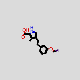 Cc1c(CCc2cccc(OCI)c2)c[nH]c1C(=O)O